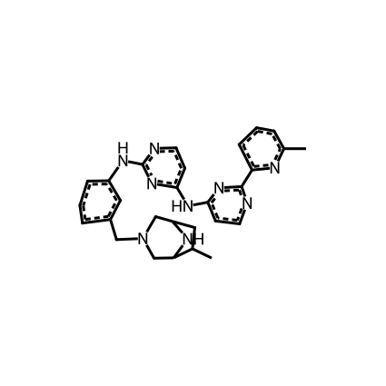 Cc1cccc(-c2nccc(Nc3ccnc(Nc4cccc(CN5CC6CC(C)C(C5)N6)c4)n3)n2)n1